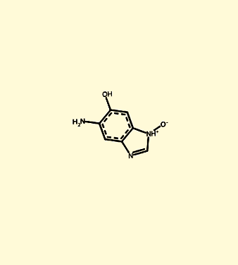 Nc1cc2c(cc1O)[NH+]([O-])C=N2